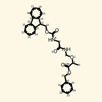 CC(OCNC(=O)CNC(=O)OCC1c2ccccc2-c2ccccc21)C(=O)OCc1ccccc1